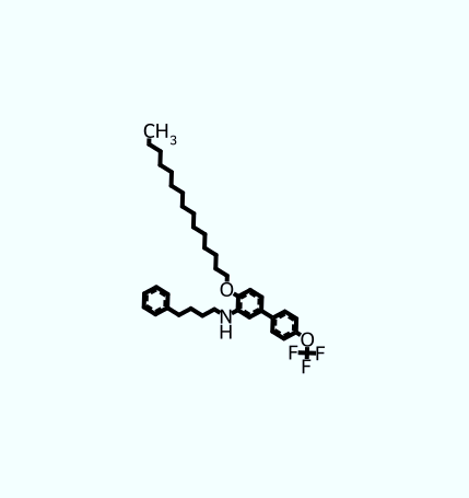 CCCCCCCCCCCCCCCOc1ccc(-c2ccc(OC(F)(F)F)cc2)cc1NCCCCc1ccccc1